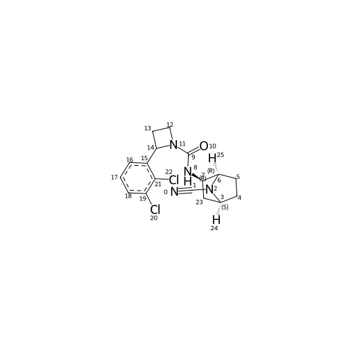 N#CN1[C@H]2CC[C@@H]1[C@H](NC(=O)N1CCC1c1cccc(Cl)c1Cl)C2